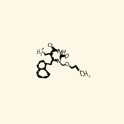 C=CCOCn1c(Cc2cccc3ccccc23)c(CC)c(=O)[nH]c1=O